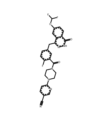 N#Cc1ccc(N2CCN(C(=O)c3cc(Cc4n[nH]c(=O)c5ccc(OC(F)F)cc45)ccc3F)CC2)nc1